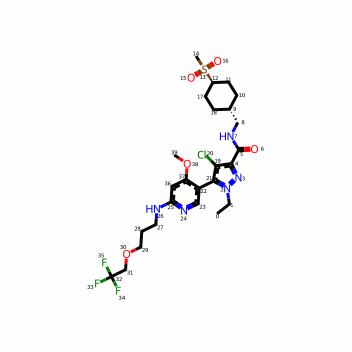 CCn1nc(C(=O)NC[C@H]2CC[C@H](S(C)(=O)=O)CC2)c(Cl)c1-c1cnc(NCCCOCC(F)(F)F)cc1OC